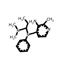 CCC(N(C)C)N(c1ccccc1)c1ccnc(C)c1N